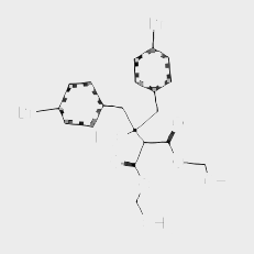 CCOC(=O)C(C(=O)OCC)C(C)(Cc1ccc(Br)cc1)Cc1ccc(Br)cc1